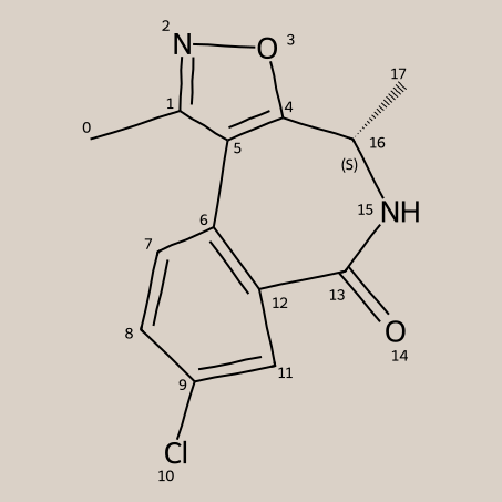 Cc1noc2c1-c1ccc(Cl)cc1C(=O)N[C@H]2C